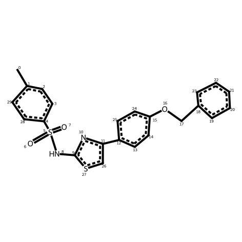 Cc1ccc(S(=O)(=O)Nc2nc(-c3ccc(OCc4ccccc4)cc3)cs2)cc1